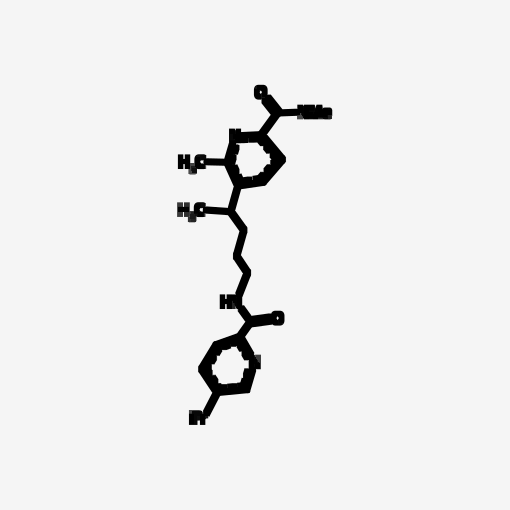 CNC(=O)c1ccc(C(C)CCCNC(=O)c2ccc(C(C)C)cn2)c(C)n1